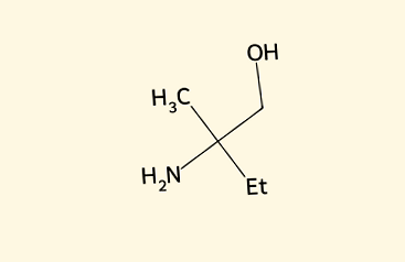 CCC(C)(N)CO